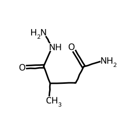 CC(CC(N)=O)C(=O)NN